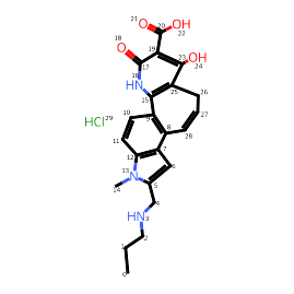 CCCNCc1cc2c3c(ccc2n1C)-c1[nH]c(=O)c(C(=O)O)c(O)c1CC=C3.Cl